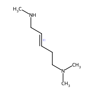 CNC/C=C/CCN(C)C